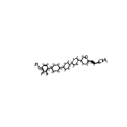 C/C=C/C1CCC(C2CCC(C3CCC(C4CCC(c5ccc(OCC)c(F)c5F)CC4)CC3)CC2)CO1